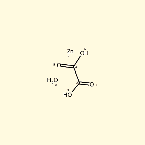 O.O=C(O)C(=O)O.[Zn]